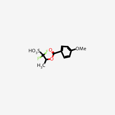 COc1ccc(C(=O)OC(C)C(F)(F)S(=O)(=O)O)cc1